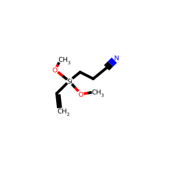 C=C[Si](CCC#N)(OC)OC